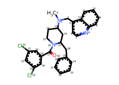 CN(Cc1ccnc2ccccc12)C1CCN(C(=O)c2cc(Cl)cc(Cl)c2)C(Cc2ccccc2)C1